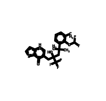 Cc1cccc(C(C)(C)CC(O)(Cc2c[nH]c3ccsc3c2=O)C(F)(F)F)c1OC(F)F